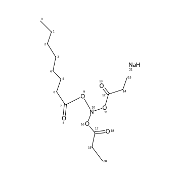 CCCCCCCC(=O)ON(OC(=O)CC)OC(=O)CC.[NaH]